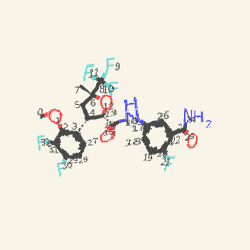 COc1c([C@@H]2C[C@](C)(C(F)(F)F)O[C@@H]2C(=O)Nc2ccc(F)c(C(N)=O)c2)ccc(F)c1F